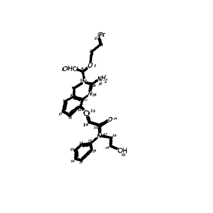 CC(C)CCOC(C=O)N1Cc2cccc(OCC(=O)N(CCO)c3ccccc3)c2N=C1N